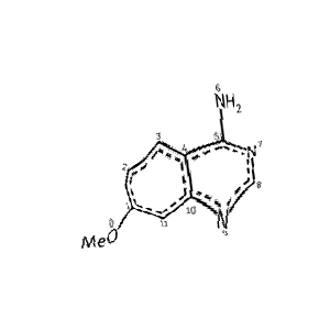 COc1ccc2c(N)ncnc2c1